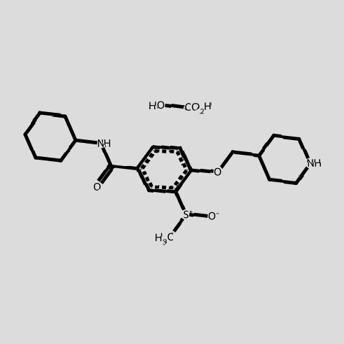 C[S+]([O-])c1cc(C(=O)NC2CCCCC2)ccc1OCC1CCNCC1.O=C(O)O